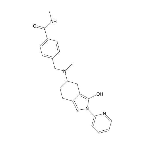 CNC(=O)c1ccc(CN(C)C2CCc3nn(-c4ccccn4)c(O)c3C2)cc1